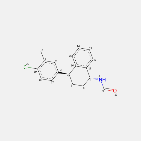 Cc1cc([C@@H]2CC[C@@H](NC=O)c3ccccc32)ccc1Cl